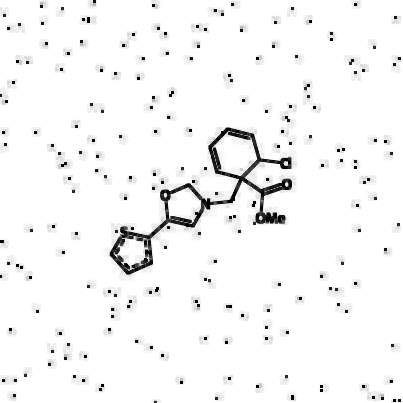 COC(=O)C1(CN2C=C(c3cccs3)OC2)C=CC=CC1Cl